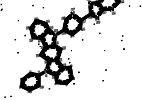 c1ccc(-n2c3ccccc3c3cc4c(cc32)c2ccccc2n4-c2ccc(-c3nc4nccnc4s3)nc2)cc1